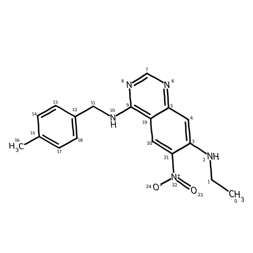 CCNc1cc2ncnc(NCc3ccc(C)cc3)c2cc1[N+](=O)[O-]